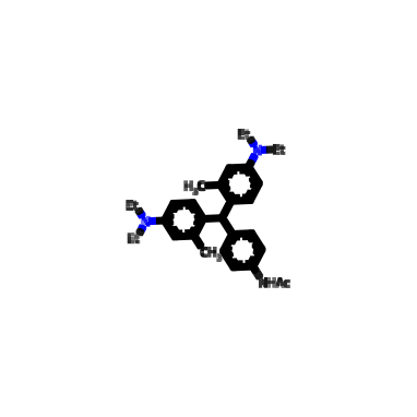 CCN(CC)c1ccc(C(c2ccc(NC(C)=O)cc2)c2ccc(N(CC)CC)cc2C)c(C)c1